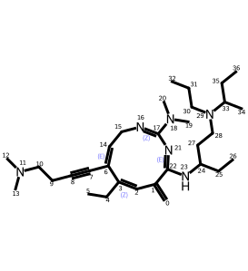 C=C1/C=C(CC)\C(C#CCCN(C)C)=C/C/N=C(N(C)C)\N=C/1NC(CC)CCN(CCC)C(C)CC